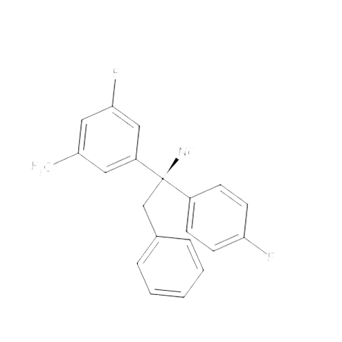 [C-]#[N+][C@](Cc1ccccc1)(c1ccc(F)cc1)c1cc(F)cc(C(F)(F)F)c1